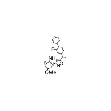 COC1CN=C(N)N(c2cc(C(C)c3ccc(-c4ccccc4)c(F)c3)on2)C1